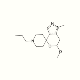 CCCN1CCC2(CC1)OC(OC)Cc1c2cnn1C